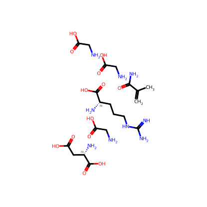 C=C(C)C(N)=O.N=C(N)NCCC[C@H](N)C(=O)O.NCC(=O)O.NCC(=O)O.NCC(=O)O.N[C@@H](CC(=O)O)C(=O)O